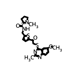 COc1ccc2nc(C)nc(SCC(=O)c3ccc(CNC(=O)[C@@H]4CCCN4C)s3)c2c1